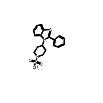 CS(=O)(=O)N1CCC(n2c(-c3ccccc3)nc3ccccc32)CC1